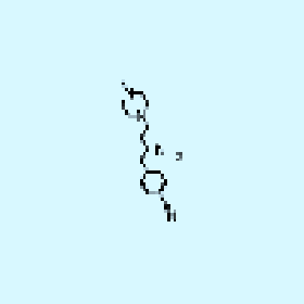 CN1CCN(CC[C@H](N)Cc2ccc(C#N)cc2)CC1